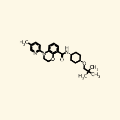 Cc1ccc(N2CCOc3c(C(=O)N[C@H]4CC[C@H](OCC(C)(C)C)CC4)cccc32)nc1